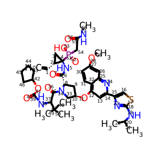 C=C[C@@H]1C[C@]1(NC(=O)[C@@H]1C[C@@H](Oc2cc(-c3csc(NC(C)C)n3)nc3cc(OC)ccc23)CN1C(=O)C(NC(=O)OC1CCCC1)C(C)(C)C)P(=O)(O)CC(=O)NC